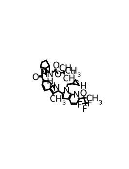 Cc1c(-c2cc3ccc(C(C)(O)C(F)(F)F)nc3n2CC2CC2)nn2cc(C(=O)N3CC4CCC3[C@@H]4NC(=O)OC(C)(C)C)ccc12